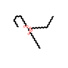 CCCCC/C=C\C/C=C\C/C=C\CCCCCCC(=O)OC[C@@H](COC(=O)CCCCCCCCCCCCC)OC(=O)CCCCCCCCC/C=C\CCCCCCCC